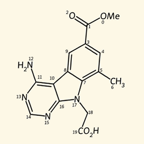 COC(=O)c1cc(C)c2c(c1)c1c(N)ncnc1n2CC(=O)O